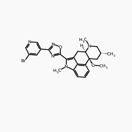 CO[C@]12C[C@@H](C)CN(C)[C@@H]1Cc1c(-c3nc(-c4cncc(Br)c4)no3)n(C)c3cccc2c13